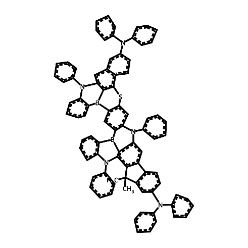 CC1(C)c2cc(N(c3ccccc3)c3ccccc3)ccc2-c2cc3c4c(c21)N(c1ccccc1)c1ccccc1B4c1cc2c(cc1N3c1ccccc1)Sc1c3c(cc4cc(N(c5ccccc5)c5ccccc5)ccc14)N(c1ccccc1)c1ccccc1B23